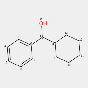 O[C](c1ccccc1)C1CCCCC1